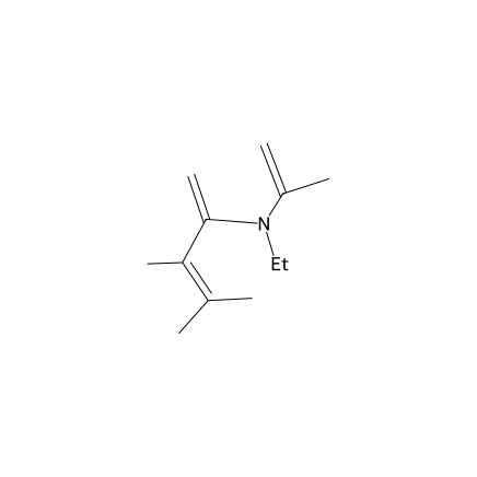 C=C(C)N(CC)C(=C)C(C)=C(C)C